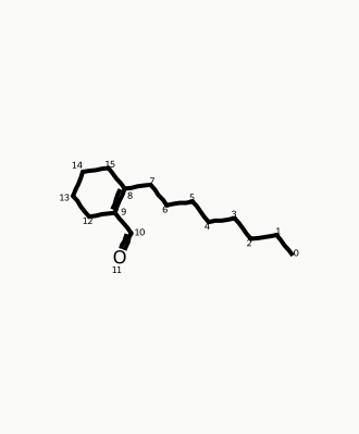 CCCCCCCCC1=C(C=O)CCCC1